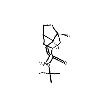 CC(C)(C)OC(=O)N1CC2CC[C@H](C1)[C@H]2/C=C/N